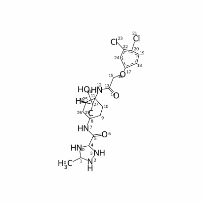 CC1NNC(C(=O)NC23CCC(NC(=O)COc4ccc(Cl)c(Cl)c4)(CC2)[C@@H](O)C3)N1